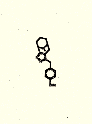 COc1ccc(Cn2nnc3c2CC2CCCC3N2C)cc1